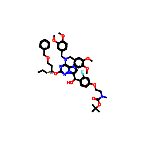 CCC[C@H](CCOCc1ccccc1)Oc1nc(N(Cc2ccc(OC)c(OC)c2)Cc2ccc(OC)c(OC)c2)c2ncc(C(O)c3ccc(OCCN(C)C(=O)OC(C)(C)C)cc3F)n2n1